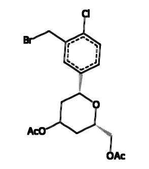 CC(=O)OC[C@@H]1CC(OC(C)=O)C[C@H](c2ccc(Cl)c(CBr)c2)O1